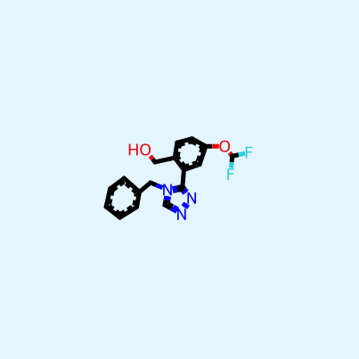 OCc1ccc(OC(F)F)cc1-c1nncn1Cc1ccccc1